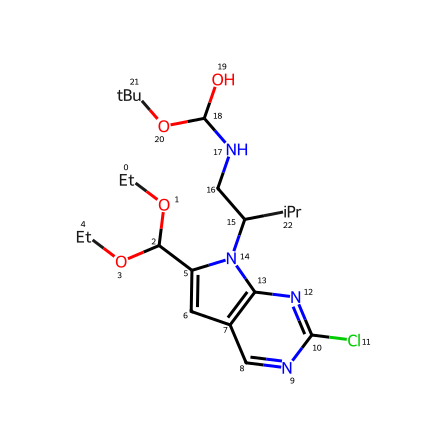 CCOC(OCC)c1cc2cnc(Cl)nc2n1C(CNC(O)OC(C)(C)C)C(C)C